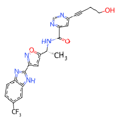 C[C@@H](NC(=O)c1cc(C#CCCO)ncn1)c1cc(-c2nc3ccc(C(F)(F)F)cc3[nH]2)no1